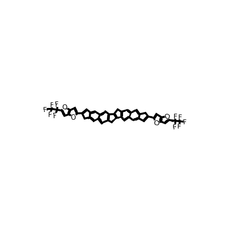 FC(F)(F)C(F)(F)c1cc2oc(C3=Cc4cc5cc6c(cc5cc4C3)CC3=C6Cc4cc5cc6c(cc5cc43)C=C(c3cc4oc(C(F)(F)C(F)(F)F)cc4o3)C6)cc2o1